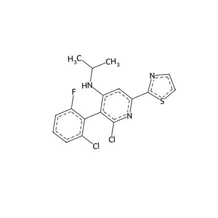 CC(C)Nc1cc(-c2nccs2)nc(Cl)c1-c1c(F)cccc1Cl